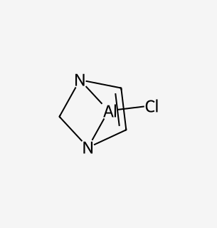 [Cl][Al]1[N]2C=C[N]1C2